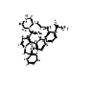 NC(=O)c1ccccc1NCC[C@@H]1CNCCN1C(=O)c1ncn(CC2(O)CCCCC2)c1C1=CC=CCC1